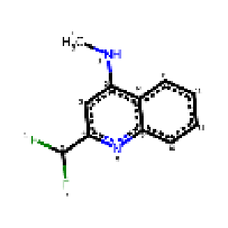 CNc1cc(C(F)F)nc2ccccc12